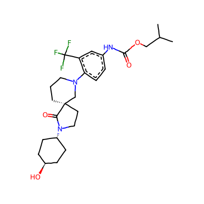 CC(C)COC(=O)Nc1ccc(N2CCC[C@@]3(CCN([C@H]4CC[C@H](O)CC4)C3=O)C2)c(C(F)(F)F)c1